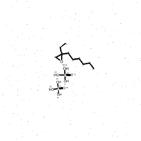 CCCCCCC1(CC)CO1.O=P(O)(O)O.O=P(O)(O)O